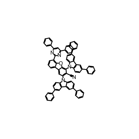 N#Cc1c(-n2c3ccc(-c4ccccc4)cc3c3cc(-c4ccccc4)ccc32)cc2c(oc3c(-c4nc(-c5ccccc5)cc(-c5ccccc5)n4)cccc32)c1-n1c2ccc(-c3ccccc3)cc2c2cc(-c3ccccc3)ccc21